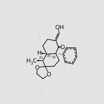 C[C@H]1[C@@H]2CCC(=CO)C(=O)[C@@]2(c2ccccc2)CCC12OCCO2